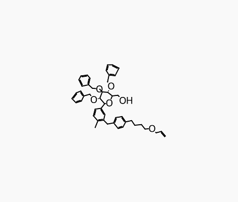 C=CCOCCCCc1ccc(Cc2cc(C3OC(CO)[C@@H](OCc4ccccc4)C(OCc4ccccc4)[C@H]3OCc3ccccc3)ccc2C)cc1